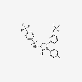 Cc1ccc(N2C(=O)[C@H](NC(C)(C)c3ccc(C(F)(F)F)nc3)CC2c2cccc(OC(F)(F)F)c2)cc1